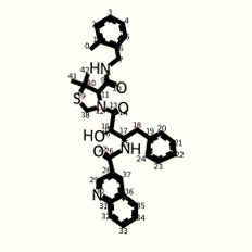 Cc1ccccc1CNC(=O)C1N(C(=O)[C@@H](O)C(Cc2ccccc2)NC(=O)c2cnc3ccccc3c2)CSC1(C)C